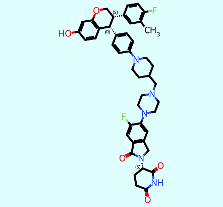 Cc1cc([C@H]2COc3cc(O)ccc3[C@H]2c2ccc(N3CCC(CN4CCN(c5cc6c(cc5F)C(=O)N([C@H]5CCC(=O)NC5=O)C6)CC4)CC3)cc2)ccc1F